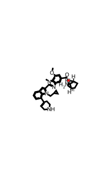 COc1cc(C(=O)N2C[C@H]3CC[C@@H]2[C@@H]3N)cc2nc(-c3cc4cccc(C5=CCNCC5)c4n3CC3CC3)n(C)c12